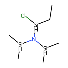 CC[SiH](Cl)N([SiH](C)C)[SiH](C)C